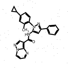 Cc1cc(C2CC2)ccc1-n1nc(-c2ccccc2)cc1NC(=O)c1cnn2cccnc12